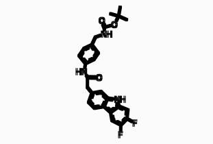 CC(C)(C)OC(=O)NCc1ccc(NC(=O)Cc2ccc3c(c2)[nH]c2cc(F)c(F)cc23)cc1